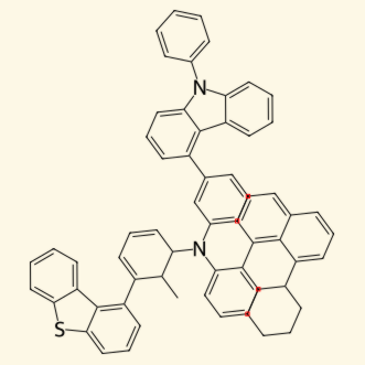 CC1C(c2cccc3sc4ccccc4c23)=CC=CC1N(c1cccc(-c2cccc3c2c2ccccc2n3-c2ccccc2)c1)c1ccccc1-c1cccc2cccc(C3CCCCC3)c12